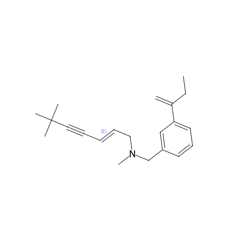 C=C(CC)c1cccc(CN(C)C/C=C/C#CC(C)(C)C)c1